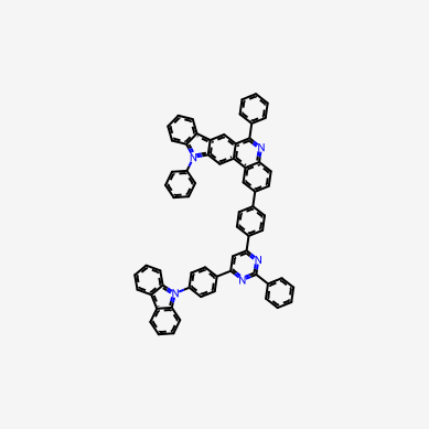 c1ccc(-c2nc(-c3ccc(-c4ccc5nc(-c6ccccc6)c6cc7c8ccccc8n(-c8ccccc8)c7cc6c5c4)cc3)cc(-c3ccc(-n4c5ccccc5c5ccccc54)cc3)n2)cc1